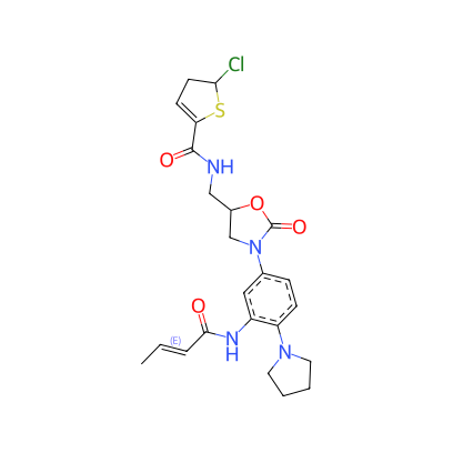 C/C=C/C(=O)Nc1cc(N2CC(CNC(=O)C3=CCC(Cl)S3)OC2=O)ccc1N1CCCC1